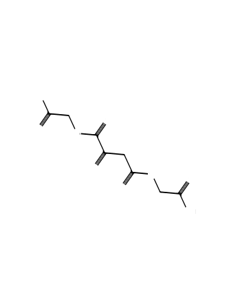 O=C(O)COC(=O)CC(=O)C(=O)OCC(=O)O